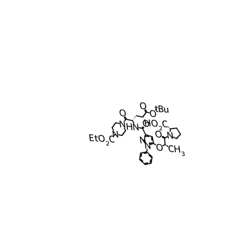 CCOC(=O)N1CCN(C(=O)[C@H](CCC(=O)OC(C)(C)C)NC(=O)c2cc(O[C@H](C)C(=O)N3CCC[C@H]3C(=O)O)n(-c3ccccc3)n2)CC1